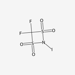 O=S1(=O)N(I)S(=O)(=O)C1(F)F